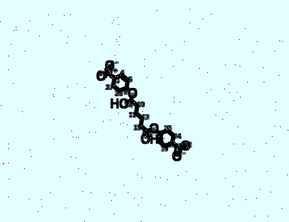 O=[N+]([O-])C1C=CC(OC(O)CCCCC(O)OC2=CCC([N+](=O)[O-])CC2)CC1